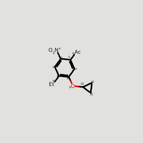 CCc1cc([N+](=O)[O-])c(C(C)=O)cc1OC1CC1